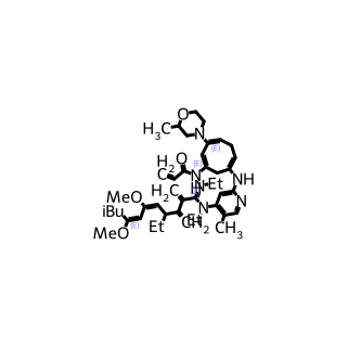 C=CC(=O)N/C1=C/C(N2CCOC(C)C2)=C\CC=C(Nc2cc(N(CC)/C(=N\CC)C(=C)C(=C)C(C=C(/C=C(/OC)C(C)CC)OC)CC)c(C)cn2)C1